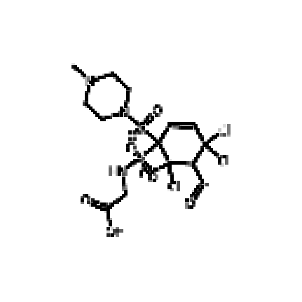 CN1CCN(S(=O)(=O)C2(S(=O)(=O)NCC(=O)O)C=CC(Cl)(Cl)C([C]=O)C2(Cl)Cl)CC1